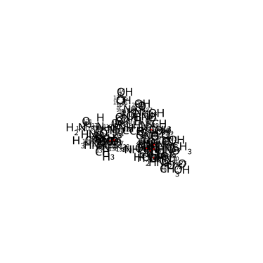 CC(C)C[C@H](NC(=O)[C@H](Cc1ccc(O)cc1)NC(=O)[C@H](CO)NC(=O)[C@H](CO)NC(=O)[C@@H](NC(=O)[C@H](CC(=O)O)NC(=O)[C@H](CO)NC(=O)[C@@H](NC(=O)[C@H](Cc1ccccc1)NC(=O)[C@@H](NC(=O)[C@H](CCC(=O)O)NC(=O)[C@H](C)NC(=O)[C@@H](N)Cc1c[nH]cn1)[C@@H](C)O)[C@@H](C)O)C(C)C)C(=O)N[C@@H](CCC(=O)O)C(=O)NCC(=O)N[C@@H](CCC(N)=O)C(=O)N[C@@H](C)C(=O)N[C@@H](C)C(=O)N[C@@H](CCCCN)C(=O)O